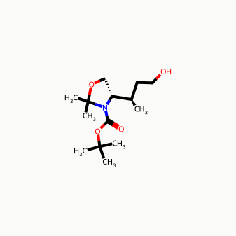 C[C@H](CCO)[C@H]1COC(C)(C)N1C(=O)OC(C)(C)C